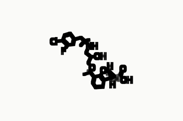 C[C@@H](OCC(O)CNC(C)(C)Cc1ccc(Cl)c(F)c1)c1cccc2c1O[C@H]1[C@H](C(=O)O)[C@@H]21